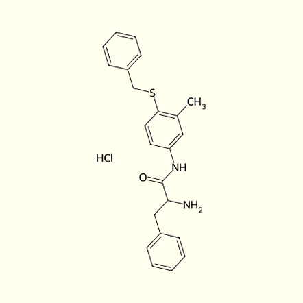 Cc1cc(NC(=O)C(N)Cc2ccccc2)ccc1SCc1ccccc1.Cl